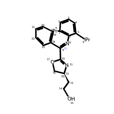 CC(C)c1cccc(C(C)C)c1/N=C(/C1=N[C@@H](CCO)CO1)c1ccccc1